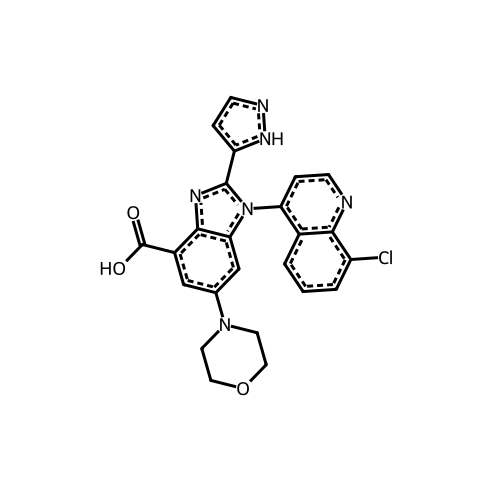 O=C(O)c1cc(N2CCOCC2)cc2c1nc(-c1ccn[nH]1)n2-c1ccnc2c(Cl)cccc12